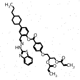 C=CC(=O)OCC(COc1ccc(C(=O)Oc2ccc(C3CCC(CCC)CC3)cc2/C=N/Nc2nc3ccccc3s2)cc1)OC(=O)C=C